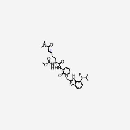 COC(=O)N[C@@H](CC/C=C/C(=O)N(C)C)C(=O)Nc1cccn(Cc2nc3cccc(C(F)C(C)C)c3[nH]2)c1=O